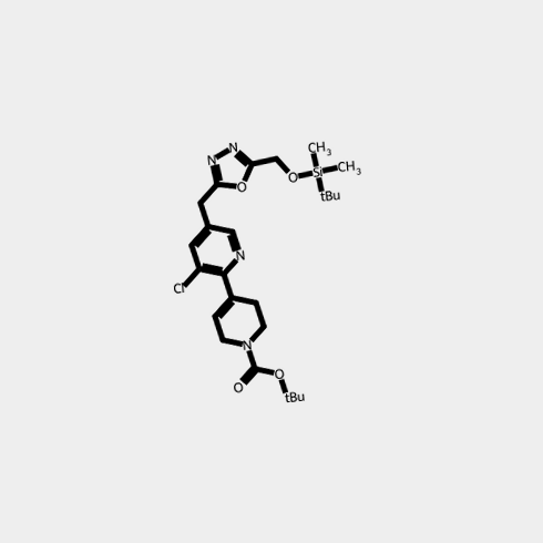 CC(C)(C)OC(=O)N1CC=C(c2ncc(Cc3nnc(CO[Si](C)(C)C(C)(C)C)o3)cc2Cl)CC1